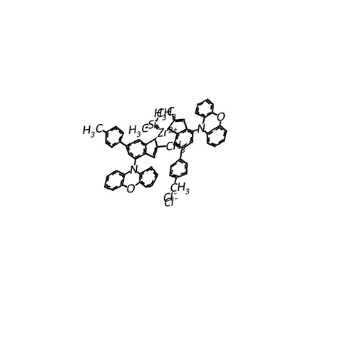 CC1=Cc2c(cc(-c3ccc(C)cc3)cc2N2c3ccccc3Oc3ccccc32)[C@@H]1[Zr+2]([C@H]1C(C)=Cc2c1cc(-c1ccc(C)cc1)cc2N1c2ccccc2Oc2ccccc21)=[Si](C)C.[Cl-].[Cl-]